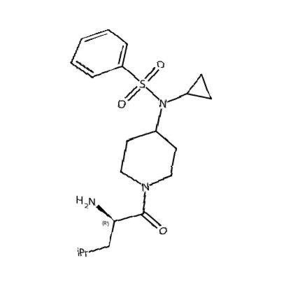 CC(C)C[C@@H](N)C(=O)N1CCC(N(C2CC2)S(=O)(=O)c2ccccc2)CC1